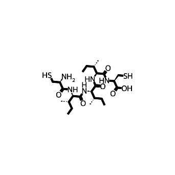 CC[C@H](C)[C@H](NC(=O)[C@@H](NC(=O)[C@@H](NC(=O)[C@@H](N)CS)[C@@H](C)CC)[C@@H](C)CC)C(=O)N[C@@H](CS)C(=O)O